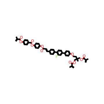 C=C(C)C(=O)OCC(C)(CCOc1ccc(-c2ccc(-c3ccc(/C=C/C(=O)Oc4ccc(OC(=O)c5ccc(OC(=O)C(=C)C)cc5)cc4)cc3)c(F)c2)cc1)COC(=O)C(=C)C